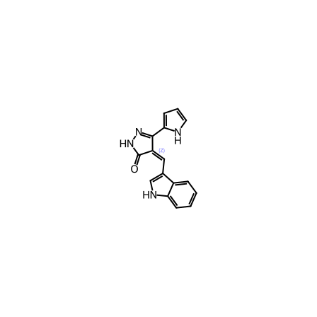 O=C1NN=C(c2ccc[nH]2)/C1=C/c1c[nH]c2ccccc12